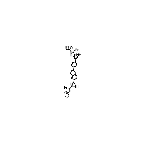 CC(C)CC(=O)N[C@H](c1nc(-c2ccc(-c3ccc4cc(-c5c[nH]c([C@@H](NC(=O)CC(C)C)C(C)C)n5)ccc4c3)cc2)c[nH]1)C(C)C